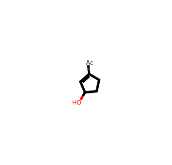 CC(=O)C1=CC(O)CC1